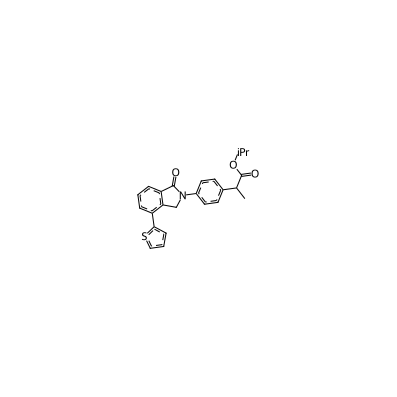 CC(C)OC(=O)C(C)c1ccc(N2Cc3c(cccc3-c3cccs3)C2=O)cc1